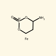 NC1CCO[PH](=O)O1.[Fe]